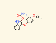 COc1ccc(Oc2c(OC(N)=O)[nH]c3ccccc23)cc1